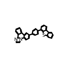 c1ccc2c(c1)sc1c(-c3ccc(-c4ccc5c(c4)c4ccccc4c4nccn54)cc3)cccc12